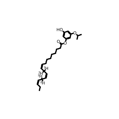 [2H]C([2H])(/C=C\CC)/C=C\C([2H])([2H])/C=C\CCCCCCCC(=O)Oc1cc(O)cc(OC(C)C)c1